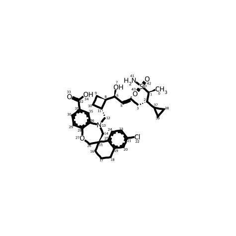 C[C@@H]([C@@H](C/C=C/[C@H](O)[C@@H]1CC[C@H]1CN1C[C@@]2(CCCc3cc(Cl)ccc32)COc2ccc(C(=O)O)cc21)C1CC1)S(N)(=O)=O